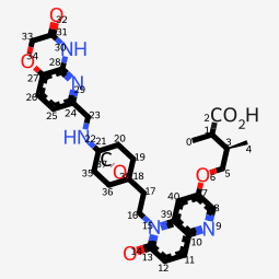 CC(C(=O)O)[C@@H](C)COc1cnc2ccc(=O)n(CCC34CCC(NCc5ccc6c(n5)NC(=O)CO6)(CC3)CO4)c2c1